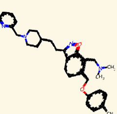 CN(C)Cc1c(COc2ccc(C#N)cc2)ccc2c(CCC3CCN(Cc4ccccn4)CC3)noc12